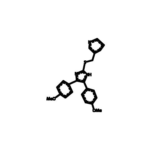 COc1ccc(-c2nc(SCc3cccnc3)[nH]c2-c2ccc(OC)cc2)cc1